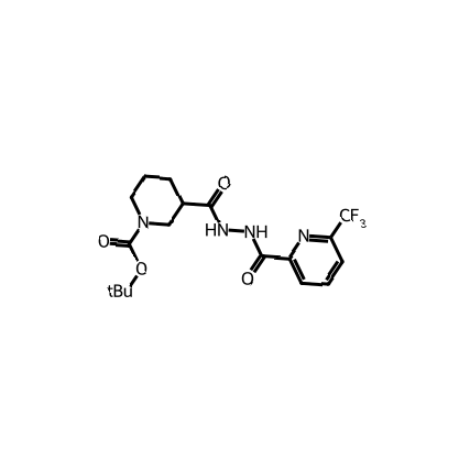 CC(C)(C)OC(=O)N1CCCC(C(=O)NNC(=O)c2cccc(C(F)(F)F)n2)C1